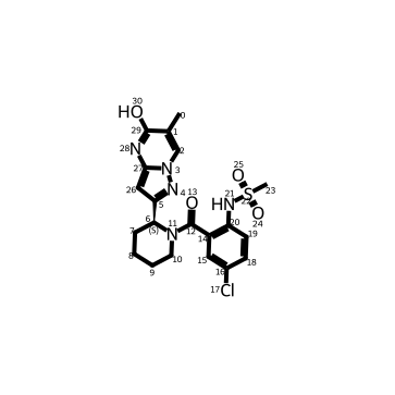 Cc1cn2nc([C@@H]3CCCCN3C(=O)c3cc(Cl)ccc3NS(C)(=O)=O)cc2nc1O